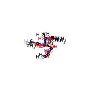 CCN(C)CCCOc1ccc2cc(NC(=O)c3ccc(OC/C(C)=C/Cc4cc(C(=O)Nc5cc6ccc(OC7CCN(C)CC7)c(C)c6oc5=O)ccc4O)c(C/C=C(\C)Cc4cc(C(=O)Nc5cc6ccc(OCCCN(C)C(C)C)c(C)c6oc5=O)cc(CC=C(C)C)c4O)c3)c(=O)oc2c1C